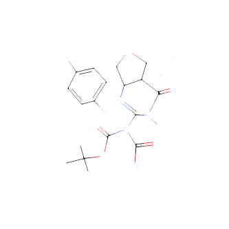 C[C@H]1OC[C@]2(c3cc(N)ccc3F)N=C(N(C(=O)O)C(=O)OC(C)(C)C)N(C)C(=O)[C@H]12